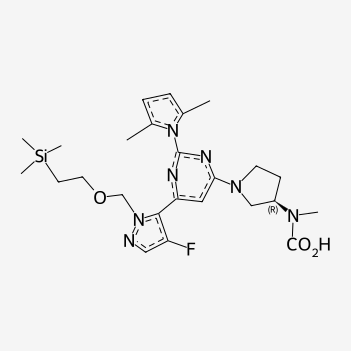 Cc1ccc(C)n1-c1nc(-c2c(F)cnn2COCC[Si](C)(C)C)cc(N2CC[C@@H](N(C)C(=O)O)C2)n1